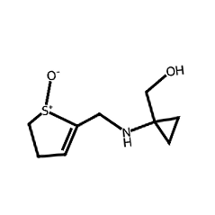 [O-][S+]1CCC=C1CNC1(CO)CC1